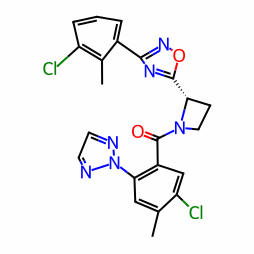 Cc1cc(-n2nccn2)c(C(=O)N2CC[C@H]2c2nc(-c3cccc(Cl)c3C)no2)cc1Cl